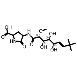 CO[C@@H](C(=O)NC1CC(C(=O)O)NC1=O)[C@H](O)[C@@H](O)[C@H](O)C=CC(C)(C)C